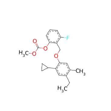 CCc1cc(C2CC2)c(OCc2c(F)cccc2OC(=O)OC)cc1C